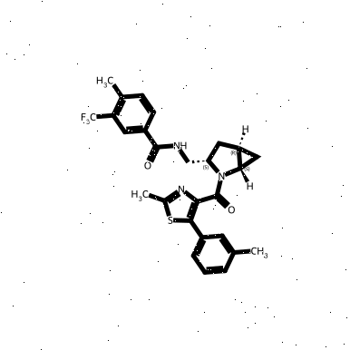 Cc1cccc(-c2sc(C)nc2C(=O)N2[C@H](CNC(=O)c3ccc(C)c(C(F)(F)F)c3)C[C@H]3C[C@@H]32)c1